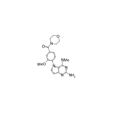 CNc1nc(N)nc2ccn(-c3ccc(C(=O)N4CCOCC4)cc3OC)c12